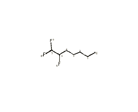 [CH2]CCCCC(F)C(F)F